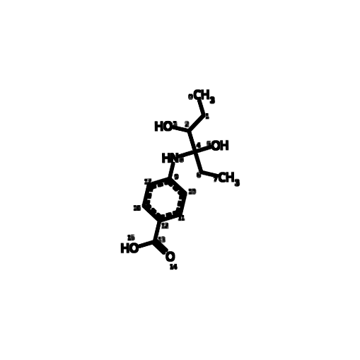 CCC(O)C(O)(CC)Nc1ccc(C(=O)O)cc1